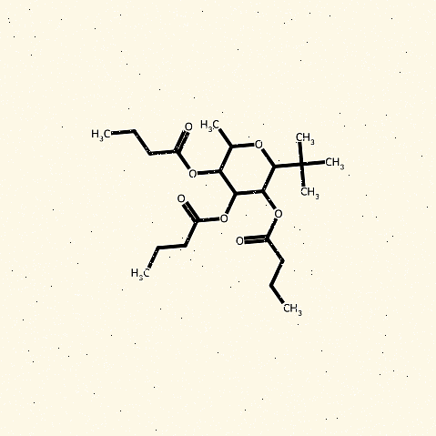 CCCC(=O)OC1C(C)OC(C(C)(C)C)C(OC(=O)CCC)C1OC(=O)CCC